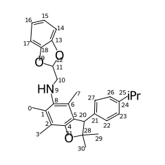 Cc1c(C)c2c(c(C)c1NCC1Oc3ccccc3O1)C(c1ccc(C(C)C)cc1)C(C)(C)O2